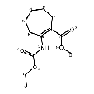 CCOC(=O)NC1=C(C(=O)OC)CCCCC1